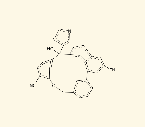 Cn1cncc1C1(O)c2ccc(C#N)c(c2)OCc2cccc(c2)-c2cc(C#N)nc3ccc1cc23